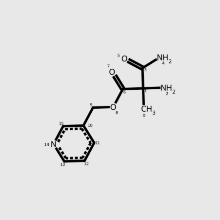 CC(N)(C(N)=O)C(=O)OCc1cccnc1